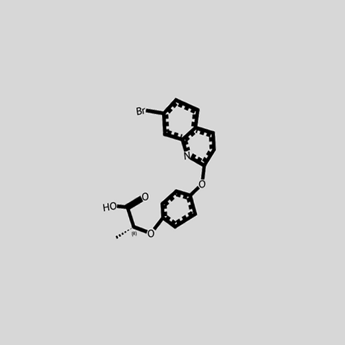 C[C@@H](Oc1ccc(Oc2ccc3ccc(Br)cc3n2)cc1)C(=O)O